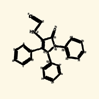 O=CNc1c(-c2ccccc2)n(-c2ccccc2)n(-c2ccccc2)c1=O